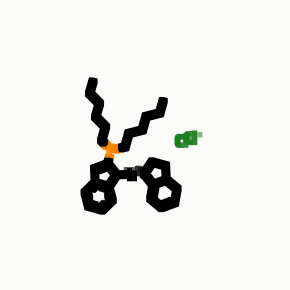 CCCCCCP(CCCCCC)C1=Cc2ccccc2[CH]1[Ti+2][CH]1CCC2CC=CC=C21.[Cl-].[Cl-]